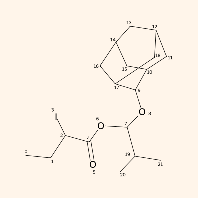 CCC(I)C(=O)OC(OC1C2CC3CC(C2)CC1C3)C(C)C